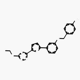 CC(=O)CSc1nnc(-c2ccc(-c3cccc(OCc4ccc(C#N)cc4)c3)o2)[nH]1